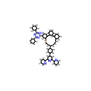 c1ccc(C2=NC(c3ccc4c(c3)sccc(-c3ccc(-c5cc(-c6ccccn6)nc(-c6ccccn6)c5)cc3)cccc3ccccc3c3ccccc43)NC(c3ccccc3)=N2)cc1